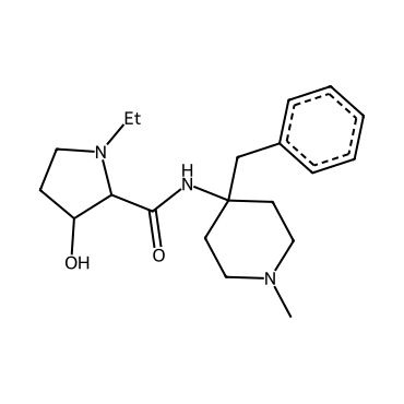 CCN1CCC(O)C1C(=O)NC1(Cc2ccccc2)CCN(C)CC1